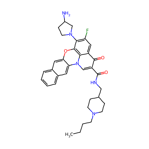 CCCCN1CCC(CNC(=O)c2cn3c4c(c(N5CCC(N)C5)c(F)cc4c2=O)Oc2cc4ccccc4cc2-3)CC1